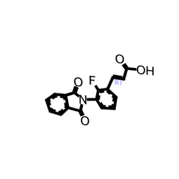 O=C(O)/C=C/c1cccc(N2C(=O)c3ccccc3C2=O)c1F